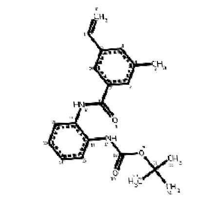 C=Cc1cc(C)cc(C(=O)Nc2ccccc2NC(=O)OC(C)(C)C)c1